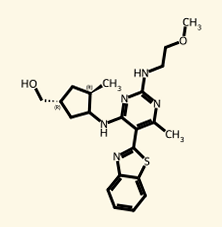 COCCNc1nc(C)c(-c2nc3ccccc3s2)c(NC2C[C@H](CO)C[C@H]2C)n1